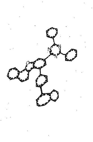 c1ccc(-c2nc(-c3ccccc3)nc(-c3cc(-c4ccc(-c5cccc6ccccc56)cc4)c4c(c3)oc3c5ccccc5ccc34)n2)cc1